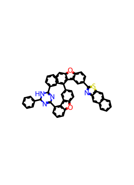 c1ccc(C2=NC(c3cccc4oc5ccc(-c6cccc7oc8ccc(-c9nc%10cc%11ccccc%11cc%10s9)cc8c67)cc5c34)=NC(c3ccccc3)N2)cc1